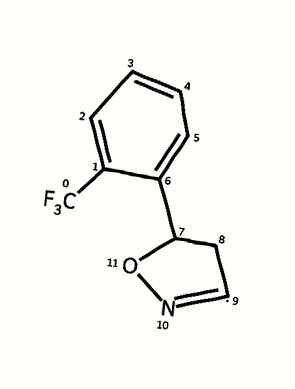 FC(F)(F)c1ccccc1C1C[C]=NO1